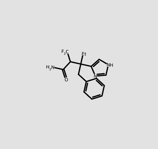 CCC(Cc1ccccc1)(c1c[nH]cn1)C(C(N)=O)C(F)(F)F